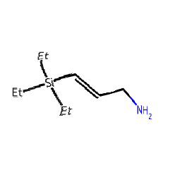 CC[Si](C=CCN)(CC)CC